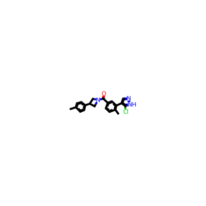 Cc1ccc(C2CN(C(=O)c3ccc(C)c(-c4cn[nH]c4Cl)c3)C2)cc1